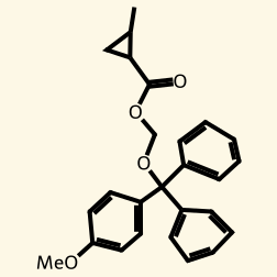 COc1ccc(C(OCOC(=O)C2CC2C)(c2ccccc2)c2ccccc2)cc1